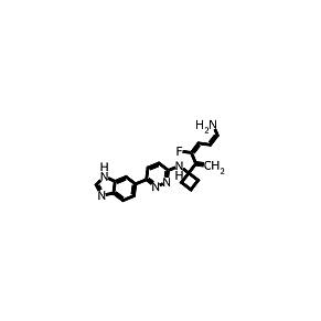 C=C(/C(F)=C\C=C/N)C1(Nc2ccc(-c3ccc4nc[nH]c4c3)nn2)CCC1